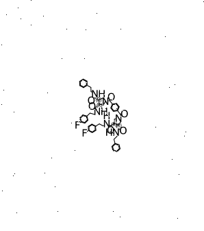 O=C(NCCc1ccccc1)[C@H]1CN(C(=O)c2ccc(C(=O)N3C[C@H](C(=O)NCCc4ccccc4)[C@@H](C(=O)NCCc4ccc(F)cc4)C3)cc2)C[C@@H]1C(=O)NCCc1ccc(F)cc1